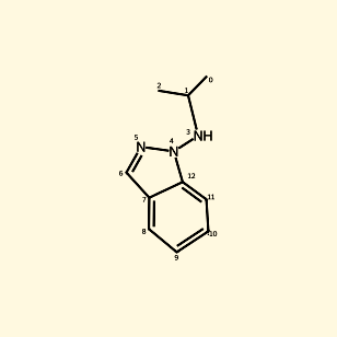 CC(C)Nn1ncc2cc[c]cc21